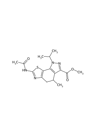 COC(=O)c1nn(C(C)C)c2c1C(C)Cc1nc(NC(C)=O)sc1-2